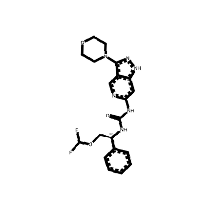 O=C(Nc1cc2[nH]nc(N3CCOCC3)c2cn1)N[C@H](COC(F)F)c1ccccc1